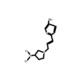 CCN(CC)C1CCN(C/C=C/c2ccc(C(C)(C)C)cn2)C1